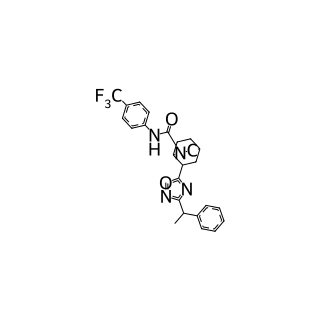 CC(c1ccccc1)c1noc(C2CC3CCC2N(C(=O)Nc2ccc(C(F)(F)F)cc2)C3)n1